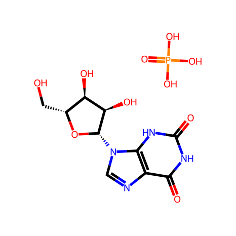 O=P(O)(O)O.O=c1[nH]c(=O)c2ncn([C@@H]3O[C@H](CO)[C@@H](O)[C@H]3O)c2[nH]1